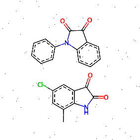 Cc1cc(Cl)cc2c1NC(=O)C2=O.O=C1C(=O)N(c2ccccc2)c2ccccc21